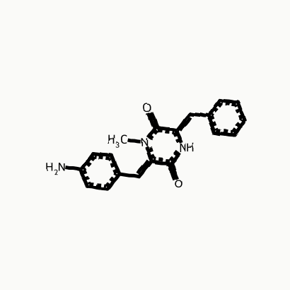 Cn1c(=O)c(=Cc2ccccc2)[nH]c(=O)c1=Cc1ccc(N)cc1